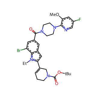 CCn1c(C2=CCCN(C(=O)OC(C)(C)C)C2)cc2cc(C(=O)N3CCN(c4ncc(F)cc4OC)CC3)cc(Br)c21